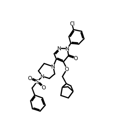 O=c1c(OCC2CC3CCC2C3)c(N2CCN(S(=O)(=O)Cc3ccccc3)CC2)cnn1-c1cccc(Cl)c1